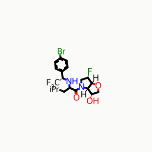 CC(C)CC(N[C@@H](c1ccc(Br)cc1)C(F)(F)F)C(=O)N1C[C@H](F)[C@H]2OC[C@H](O)[C@H]21